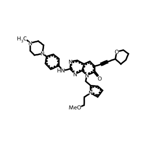 COCCn1cccc1Cn1c(=O)c(C#CC2CCCCO2)cc2cnc(Nc3ccc(N4CCN(C)CC4)cc3)nc21